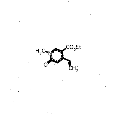 C=Cc1cc(=O)n(C)cc1C(=O)OCC